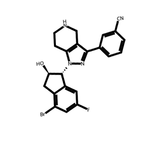 N#Cc1cccc(-c2nn([C@@H]3c4cc(F)cc(Br)c4C[C@H]3O)c3c2CNCC3)c1